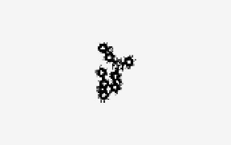 c1ccc(-c2cc(-c3cccc4sc5cc(-c6nc(-c7ccccc7)nc(-c7ccc8c(c7)oc7ccccc78)n6)ccc5c34)c3c(c2)oc2ccccc23)cc1